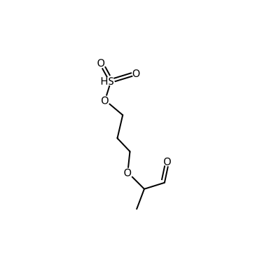 CC(C=O)OCCCO[SH](=O)=O